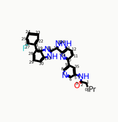 CC(C)CC(=O)Nc1cncc(-c2ccc3[nH]nc(-c4nc5c(-c6ccccc6F)cccc5[nH]4)c3n2)c1